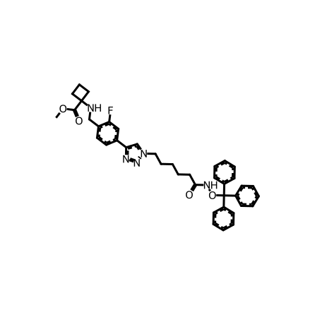 COC(=O)C1(NCc2ccc(-c3cn(CCCCCC(=O)NOC(c4ccccc4)(c4ccccc4)c4ccccc4)nn3)cc2F)CCC1